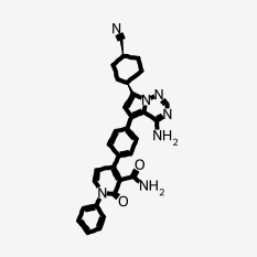 N#C[C@H]1CC[C@@H](c2cc(-c3ccc(-c4ccn(-c5ccccc5)c(=O)c4C(N)=O)cc3)c3c(N)ncnn32)CC1